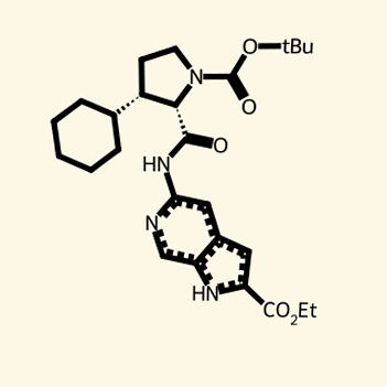 CCOC(=O)c1cc2cc(NC(=O)[C@@H]3[C@H](C4CCCCC4)CCN3C(=O)OC(C)(C)C)ncc2[nH]1